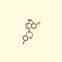 NC(=O)c1cc(Cl)ccc1C(=O)N1CCOc2cc(F)ccc2C1